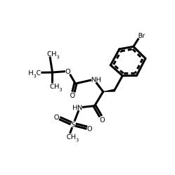 CC(C)(C)OC(=O)N[C@@H](Cc1ccc(Br)cc1)C(=O)NS(C)(=O)=O